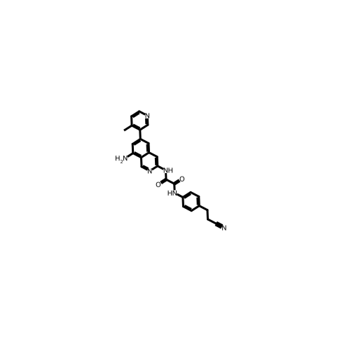 Cc1ccncc1-c1cc(N)c2cnc(NC(=O)C(=O)Nc3ccc(CCC#N)cc3)cc2c1